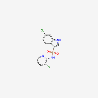 O=S(=O)(Nc1ncccc1F)c1c[nH]c2cc(Cl)ccc12